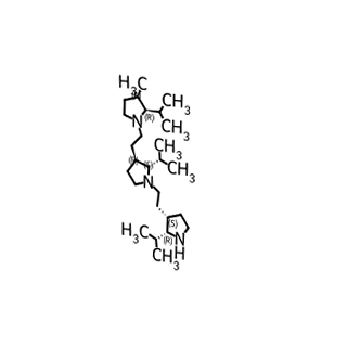 CC(C)[C@H]1NCC[C@H]1CCN1CC[C@@H](CCN2CC[C@@H](C)[C@H]2C(C)C)[C@@H]1C(C)C